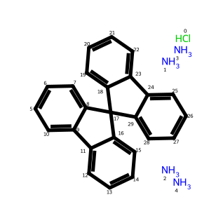 Cl.N.N.N.N.c1ccc2c(c1)-c1ccccc1C21c2ccccc2-c2ccccc21